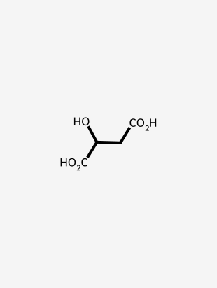 O=[13C](O)CC(O)[13C](=O)O